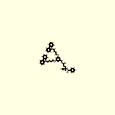 CC(C#N)(CCC(=O)OCc1cc(OCCCCn2c3ccccc3c3ccccc32)cc(OCCCCn2c3ccccc3c3ccccc32)c1)SC(=S)c1ccccc1